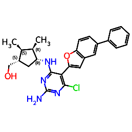 C[C@@H]1[C@@H](CO)C[C@@H](Nc2nc(N)nc(Cl)c2-c2cc3cc(-c4ccccc4)ccc3o2)[C@@H]1C